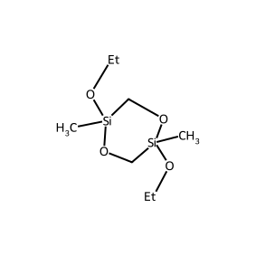 CCO[Si]1(C)CO[Si](C)(OCC)CO1